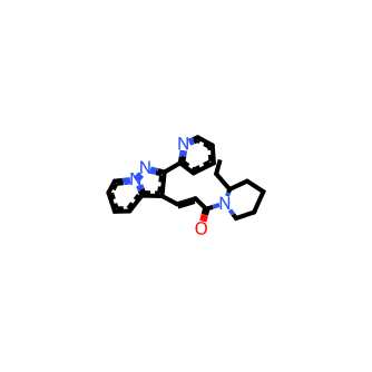 CCC1CCCCN1C(=O)/C=C/c1c(-c2ccccn2)nn2ccccc12